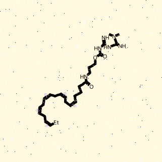 CC/C=C\C/C=C\C/C=C\C/C=C\C/C=C\CCCC(=O)NCCCOC(=O)NC(=N)NC(=N)N(C)C